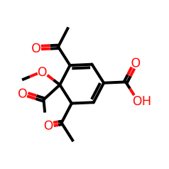 COC1(C(C)=O)C(C(C)=O)=CC(C(=O)O)=CC1C(C)=O